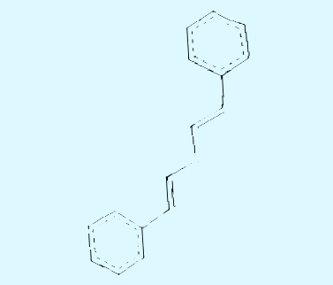 C(=Cc1ccccc1)SC=Cc1ccccc1